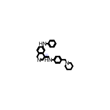 C1=NCc2ccc(Nc3ccccc3)cc2/C1=C/Nc1ccc(CN2CCCCC2)cc1